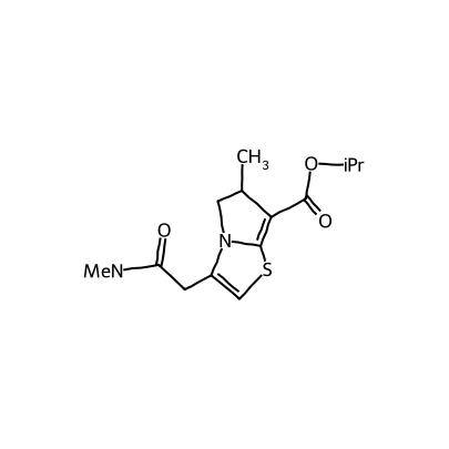 CNC(=O)CC1=CSC2=C(C(=O)OC(C)C)C(C)CN12